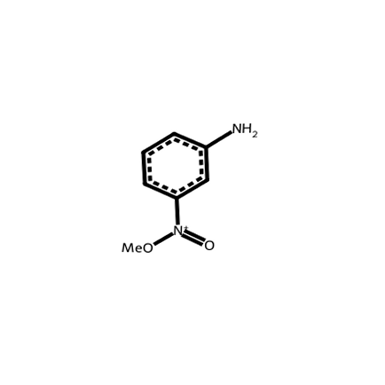 CO[N+](=O)c1cccc(N)c1